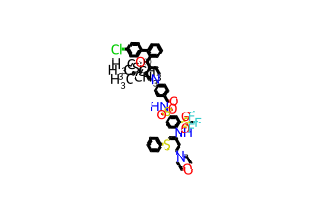 CC(C)(C)[Si](C)(C)O[C@@H](c1ccccc1-c1ccc(Cl)cc1)C1CCN(c2ccc(C(=O)NS(=O)(=O)c3ccc(NC(CCN4CCOCC4)CSc4ccccc4)c(S(=O)(=O)C(F)(F)F)c3)cc2)CC1